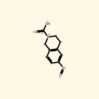 O=Nc1ccc2c(c1)CCN(C(=O)O)C2